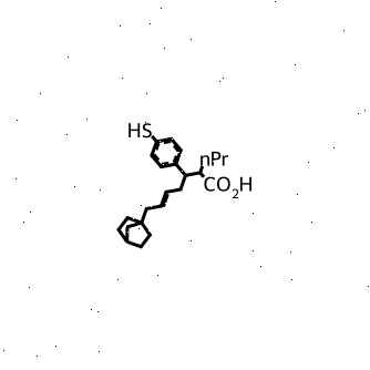 CCCC(C(=O)O)C(CC=CCC12CCC(CC1)C2)c1ccc(S)cc1